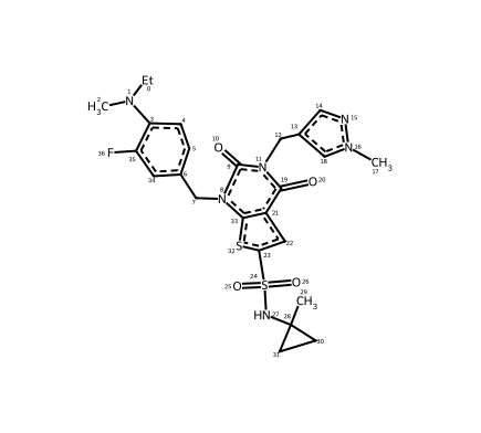 CCN(C)c1ccc(Cn2c(=O)n(Cc3cnn(C)c3)c(=O)c3cc(S(=O)(=O)NC4(C)CC4)sc32)cc1F